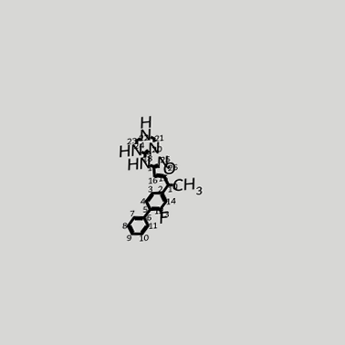 CC(c1ccc(-c2ccccc2)c(F)c1)c1cc(NC2=NCNCN2)no1